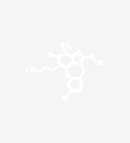 CCCOc1nc2c(c(=O)n(CCCO)c(=O)n2C)n1Cc1ccc(Cl)cc1